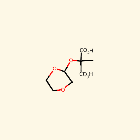 CC(OC1COCCO1)(C(=O)O)C(=O)O